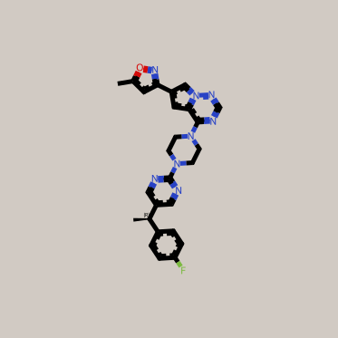 Cc1cc(-c2cc3c(N4CCN(c5ncc([C@H](C)c6ccc(F)cc6)cn5)CC4)ncnn3c2)no1